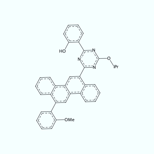 COc1ccccc1-c1cc2c3ccccc3c(-c3nc(OC(C)C)nc(-c4ccccc4O)n3)cc2c2ccccc12